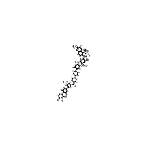 CCc1cc(Nc2ncc(Br)c(Nc3ccc4nc(C)c(F)cc4c3P(C)(C)=O)n2)c(OC)cc1N1CCC(N2CCN(C(=O)[C@H]3CN(c4cc(F)c([C@H]5CCC(=O)NC5=O)c(F)c4)CC3(C)C)CC2)CC1